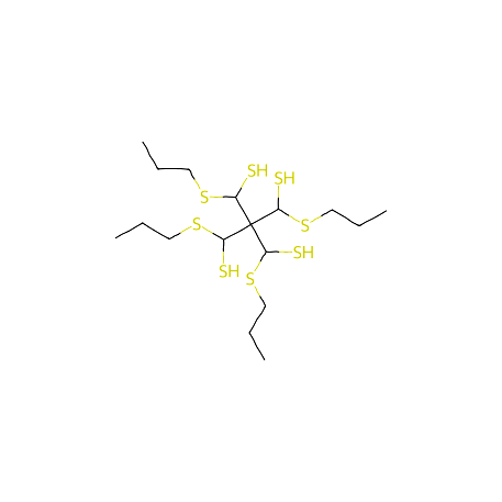 CCCSC(S)C(C(S)SCCC)(C(S)SCCC)C(S)SCCC